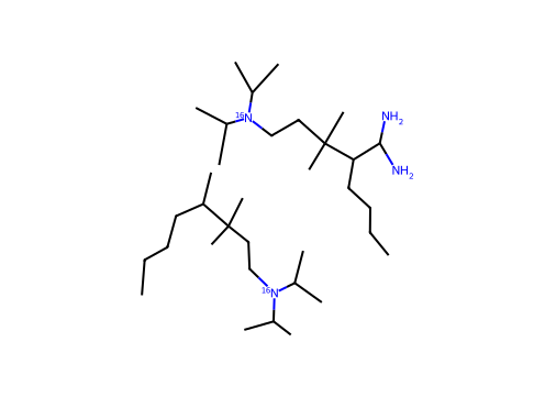 CCCCC(C(N)N)C(C)(C)CC[16N](C(C)C)C(C)C.CCCCC(C)C(C)(C)CC[16N](C(C)C)C(C)C